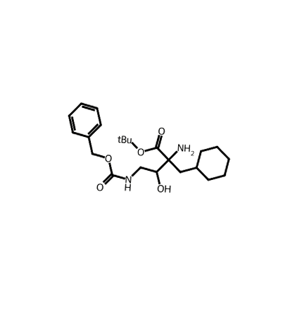 CC(C)(C)OC(=O)C(N)(CC1CCCCC1)C(O)CNC(=O)OCc1ccccc1